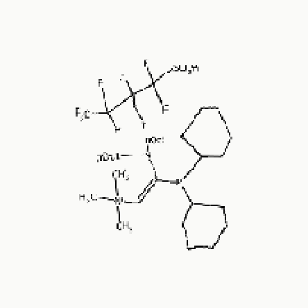 CCCCCCCCN(CCCCCCCC)C(=C[N+](C)(C)C)P(C1CCCCC1)C1CCCCC1.O=S(=O)(O)C(F)(F)C(F)(F)C(F)(F)C(F)(F)F